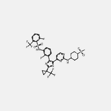 CS(=O)(=O)C1CCC(Nc2nccc(-c3sc(C4(C(F)(F)F)CC4)nc3-c3cccc(NS(=O)(=O)c4c(F)cccc4C(F)(F)F)c3F)n2)CC1